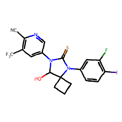 N#Cc1ncc(N2C(=S)N(c3ccc(I)c(F)c3)C3(CCC3)C2O)cc1C(F)(F)F